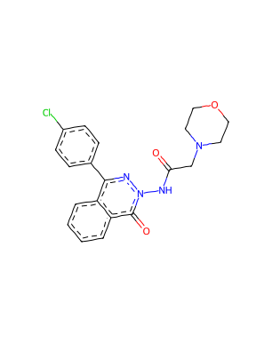 O=C(CN1CCOCC1)Nn1nc(-c2ccc(Cl)cc2)c2ccccc2c1=O